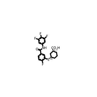 O=C(Nc1cc(F)c(F)c(F)c1)c1ccc(F)c(S[C@@H]2CCC[C@H](C(=O)O)C2)c1